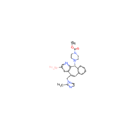 Bc1cnc2c(c1)C(Cn1ccnc1C)=Cc1ccccc1C2N1CCN(C(=O)OC(C)(C)C)CC1